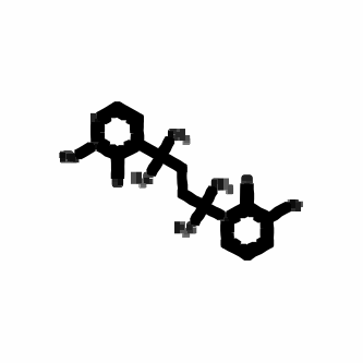 CC(C)c1cccn(C(C)(C)CCC(C)(C)c2ccnn(C(C)(C)C)c2=O)c1=O